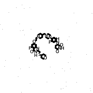 O=C1CCC(Nc2ccc(N3CCN(CC4CCN(CCOc5cc(F)c6c(=O)[nH]c(CSC7CCOCC7)nc6c5)CC4)CC3)c(F)c2)C(=O)N1